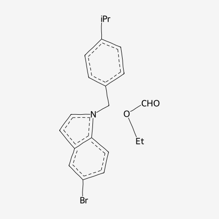 CC(C)c1ccc(Cn2ccc3cc(Br)ccc32)cc1.CCOC=O